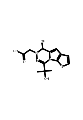 CC(C)(O)C1=NN(CC(=O)O)C(O)c2cc3ccsc3n21